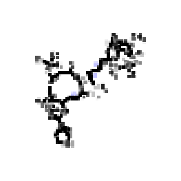 CC[C@H](O[Si](CC)(CC)CC)[C@@H](C)[C@H]1O[C@@H]1C[C@](C)(/C=C/C=C(\C)[C@H]1OC(=O)C[C@H](O[Si](CC)(CC)CC)CC[C@@](C)(OC(C)=O)C(OC(=O)N2CC3CC2CN3)/C=C/[C@@H]1C)O[Si](CC)(CC)CC